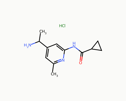 Cc1cc(C(C)N)cc(NC(=O)C2CC2)n1.Cl